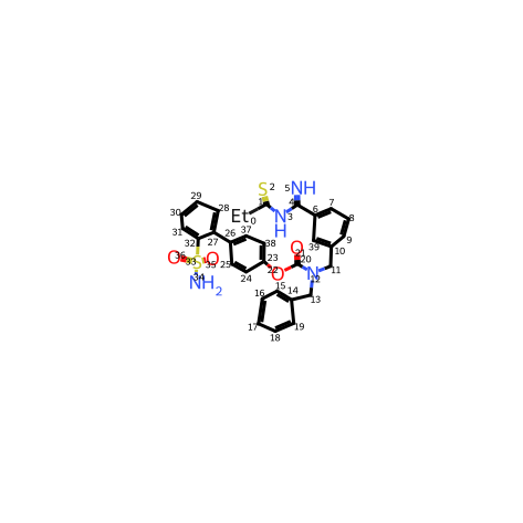 CCC(=S)NC(=N)c1cccc(CN(Cc2ccccc2)C(=O)Oc2ccc(-c3ccccc3S(N)(=O)=O)cc2)c1